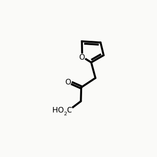 O=C(O)CC(=O)Cc1ccco1